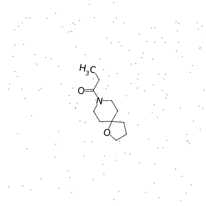 CCC(=O)N1CCC2(CCCO2)CC1